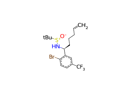 C=CCCC[C@H](N[S+]([O-])C(C)(C)C)c1cc(C(F)(F)F)ccc1Br